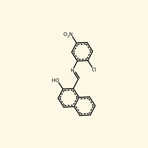 O=[N+]([O-])c1ccc(Cl)c(N=Cc2c(O)ccc3ccccc23)c1